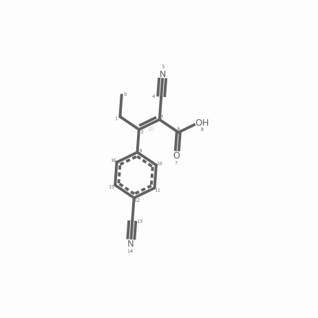 CC/C(=C(\C#N)C(=O)O)c1ccc(C#N)cc1